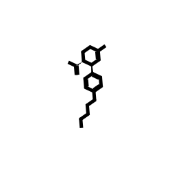 C=C(C)[C@@H]1CCC(C)=C[C@H]1c1ccc(CCCCC)cc1